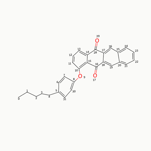 CCCCCc1ccc(Oc2cccc3c2C(=O)c2cc4ccccc4cc2C3=O)cc1